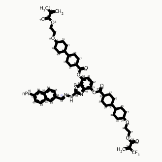 C=C(C)C(=O)OCCOC1CCC(C2CCC(C(=O)Oc3ccc(OC(=O)C4CCC(C5CCC(OCCOC(=O)C(=C)C(F)(F)F)CC5)CC4)c4nc(N/N=C/c5ccc6cc(CCC)ccc6c5)sc34)CC2)CC1